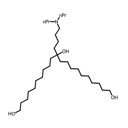 CCCN(CCC)CCCCC(O)(CCCCCCCCCCO)CCCCCCCCCCO